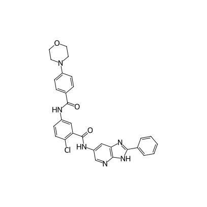 O=C(Nc1ccc(Cl)c(C(=O)Nc2cnc3[nH]c(-c4ccccc4)nc3c2)c1)c1ccc(N2CCOCC2)cc1